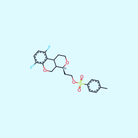 Cc1ccc(S(=O)(=O)OCC[C@@H]2OCCC3c4c(F)ccc(F)c4OCC32)cc1